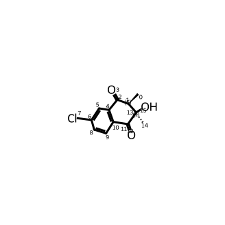 C[C@@H]1C(=O)c2cc(Cl)ccc2C(=O)[C@]1(C)O